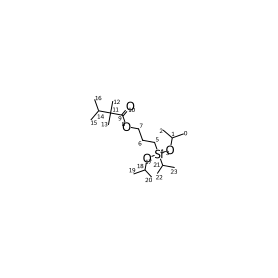 CC(C)O[Si](CCCOC(=O)C(C)(C)C(C)C)(OC(C)C)C(C)C